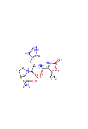 CC1OC(=O)NC1C(=O)N[C@@H](Cc1c[nH]cn1)C(=O)N1CCC[C@H]1C(N)=O